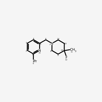 CC(C)c1cccc(CN2CCC(C)(F)CC2)n1